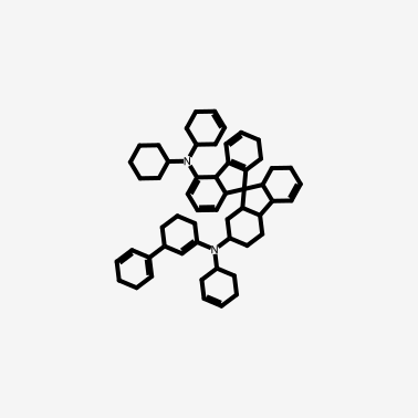 C1=CC2C(C(N(C3CC=CCC3)C3CCCCC3)=C1)C1=C(CCC=C1)C21C2CCC=CC2C2CCC(N(C3=CC(C4=CCCC=C4)CCC3)C3CC=CCC3)CC21